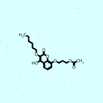 CCCCCCOc1c(O)c2cccc(OCCCOC(C)=O)c2oc1=O